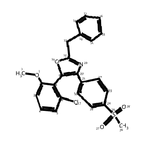 COc1cccc(Cl)c1-c1oc(Cc2ccccc2)nc1-c1ccc(S(C)(=O)=O)cc1